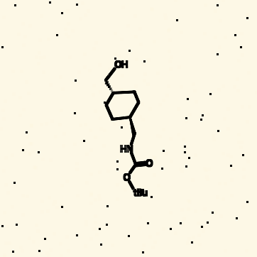 CC(C)(C)OC(=O)NC[C@H]1CC[C@H](CO)CC1